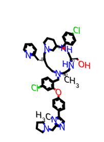 C[C@H]1CN[C@H](CO)CN[C@@]2(Cc3ccc(Cl)cc3)CCCN(C[C@@H](Cc3ccccn3)CCN1Cc1ccc(Cl)cc1Oc1ccc(-c3cnc(CN4CCCC4)n3C)cc1)C2